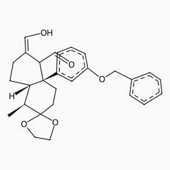 C[C@H]1[C@@H]2CC/C(=C/O)C(C=O)[C@]2(c2cccc(OCc3ccccc3)c2)CCC12OCCO2